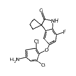 Nc1cc(Cl)c(Oc2cc(F)c3c(c2)C2(CCC2)C(=O)N3)c(Cl)c1